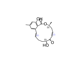 Cc1cc(O)c2c(c1)/C=C/CC[C@H](O)C(=O)/C=C\C[C@H](C)OC2=O